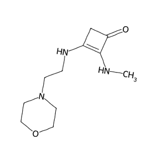 CNC1=C(NCCN2CCOCC2)CC1=O